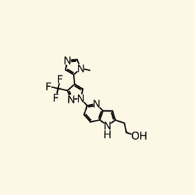 Cn1cncc1-c1cn(-c2ccc3[nH]c(CCO)cc3n2)nc1C(F)(F)F